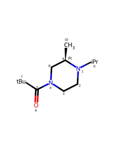 CC(C)N1CCN(C(=O)C(C)(C)C)C[C@H]1C